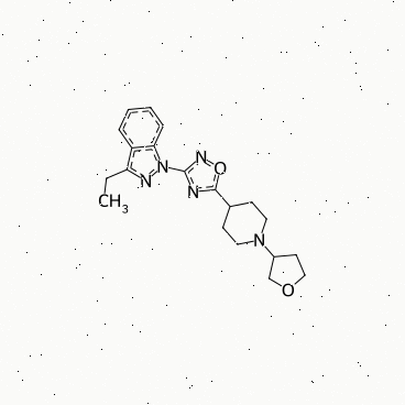 CCc1nn(-c2noc(C3CCN(C4CCOC4)CC3)n2)c2ccccc12